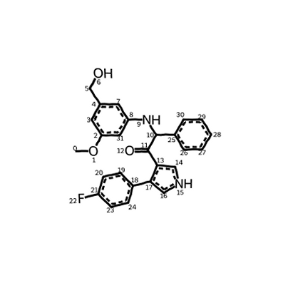 COc1cc(CO)cc(NC(C(=O)c2c[nH]cc2-c2ccc(F)cc2)c2ccccc2)c1